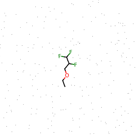 CCOCC(F)C(F)F